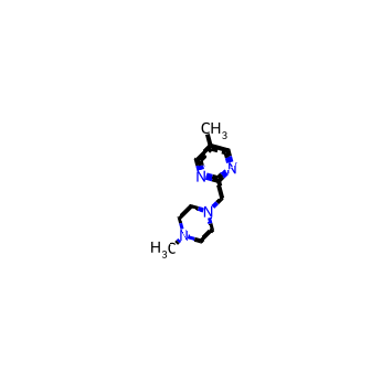 Cc1cnc(CN2CCN(C)CC2)nc1